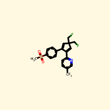 CS(=O)(=O)c1ccc(C2=CC(CF)(CF)C=C2c2ccc(C(F)(F)F)cn2)cc1